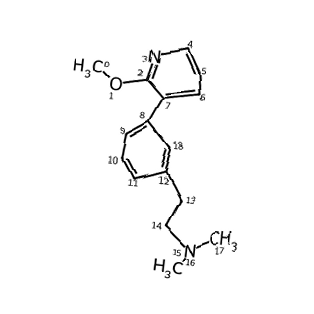 COc1ncccc1-c1cccc(CCN(C)C)c1